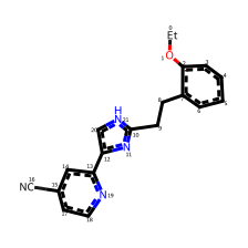 CCOc1ccccc1CCc1nc(-c2cc(C#N)ccn2)c[nH]1